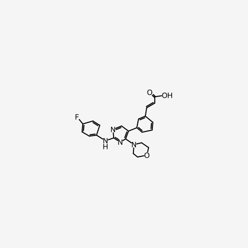 O=C(O)/C=C/c1cccc(-c2cnc(Nc3ccc(F)cc3)nc2N2CCOCC2)c1